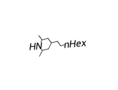 CCCCCCCCC1CC(C)NC(C)C1